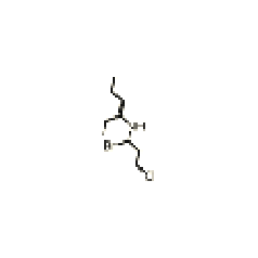 CC/C=C(\CC)NC(Br)CCCl